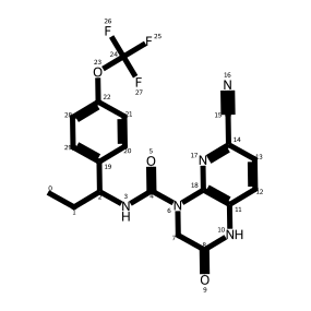 CCC(NC(=O)N1CC(=O)Nc2ccc(C#N)nc21)c1ccc(OC(F)(F)F)cc1